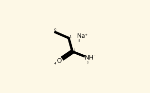 CCC([NH-])=O.[Na+]